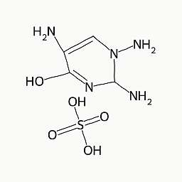 NC1=CN(N)C(N)N=C1O.O=S(=O)(O)O